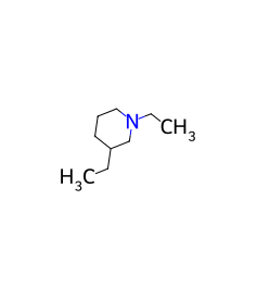 CCC1CCCN(CC)C1